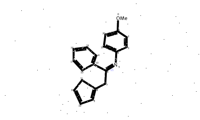 COc1ccc(/N=C(/CC2=CC=CC2)c2ccccc2)cc1